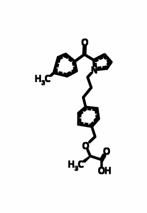 Cc1ccc(C(=O)c2cccn2CCCc2ccc(CO[C@H](C)C(=O)O)cc2)cc1